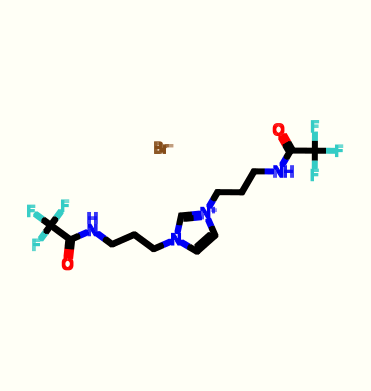 O=C(NCCCn1cc[n+](CCCNC(=O)C(F)(F)F)c1)C(F)(F)F.[Br-]